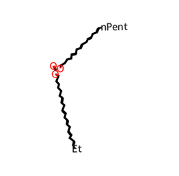 CCC=CCC=CCC=CCC=CCC=CCCCCCCOC(=O)OCCCCC=CCC=CCC=CCC=CCCCCC